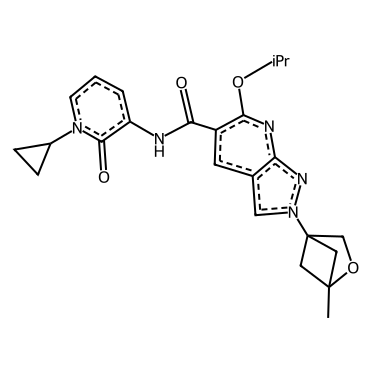 CC(C)Oc1nc2nn(C34COC(C)(C3)C4)cc2cc1C(=O)Nc1cccn(C2CC2)c1=O